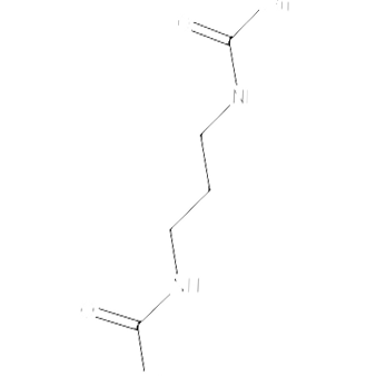 CC(C)(C)C(=O)NCCCNC(=O)C(C)(C)C